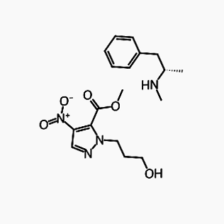 CN[C@@H](C)Cc1ccccc1.COC(=O)c1c([N+](=O)[O-])cnn1CCCO